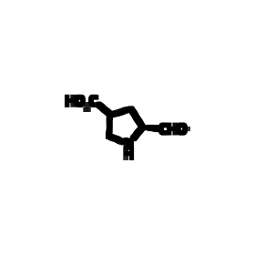 O=[C][C@@H]1CC(C(=O)O)CN1